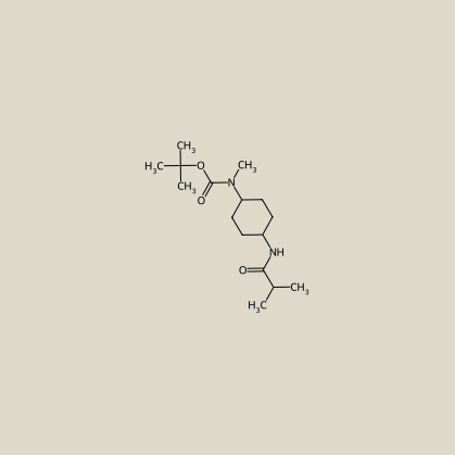 CC(C)C(=O)NC1CCC(N(C)C(=O)OC(C)(C)C)CC1